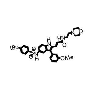 COc1cccc(-c2c(/C=C/C(=O)NCCN3CCOCC3)[nH]c3ccc(NS(=O)(=O)c4ccc(C(C)(C)C)cc4)cc23)c1